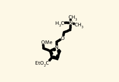 CCOC(=O)c1ccn(COCC[Si](C)(C)C)c1COC